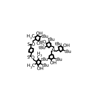 CC(C)(C)c1cc(CN(Cc2cc(C(C)(C)C)c(O)c(C(C)(C)C)c2)Cc2cc(C(C)(C)C)c(O)c(C(C)(C)C)c2)cc(C(C)(C)C)c1O.Cc1cc(C(C)(C)C)c(O)c(C)c1COC(=S)c1ccc(C(=S)OCc2c(C)cc(C(C)(C)C)c(O)c2C)cc1